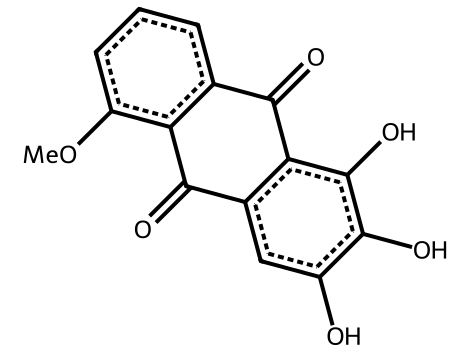 COc1cccc2c1C(=O)c1cc(O)c(O)c(O)c1C2=O